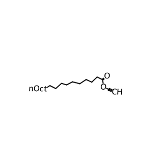 C#COC(=O)CCCCCCCCCCCCCCCCC